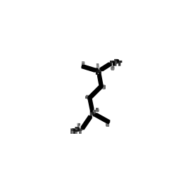 CCCN(C)CCN(C)CCC